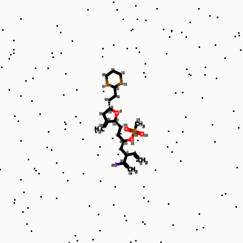 C=CC(C[C@@H](CC[C@@H]1O[C@@H](CCC2SCCCS2)CC1=C)OS(C)(=O)=O)C(=C)I